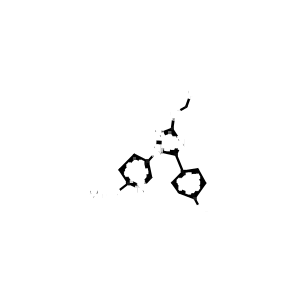 COc1ccc(-n2nc(OCC(F)(F)F)nc2-c2ccc(O)cc2)cn1